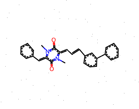 Cn1c(=O)c(=Cc2ccccc2)n(C)c(=O)c1=CC=Cc1cccc(-c2ccccc2)c1